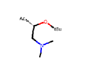 CC(=O)[C@@H](CN(C)C)OC(C)(C)C